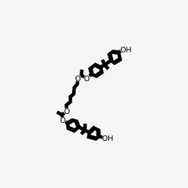 CC(OCCCCCCOC(C)Oc1ccc(C(C)(C)c2ccc(O)cc2)cc1)Oc1ccc(C(C)(C)c2ccc(O)cc2)cc1